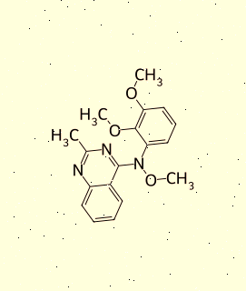 COc1cccc(N(OC)c2nc(C)nc3ccccc23)c1OC